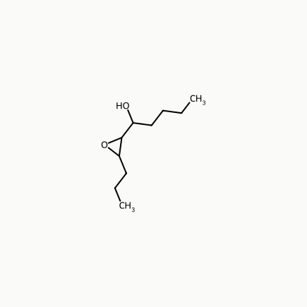 CCCCC(O)C1OC1CCC